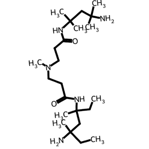 CCC(C)(N)CC(C)(CC)NC(=O)CCN(C)CCC(=O)NC(C)(C)CC(C)(C)N